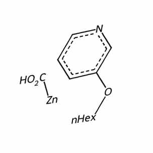 CCCCCCOc1cccnc1.O=[C](O)[Zn]